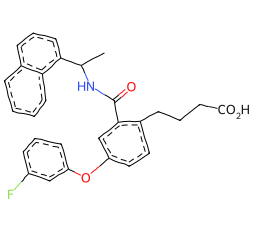 CC(NC(=O)c1cc(Oc2cccc(F)c2)ccc1CCCC(=O)O)c1cccc2ccccc12